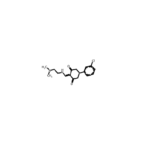 CN(C)CCNC=C1C(=O)CC(c2cccc(Cl)c2)CC1=O